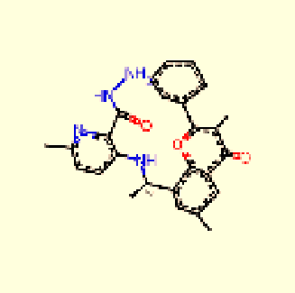 Cc1cc([C@@H](C)Nc2ccc(C)nc2C(=O)NN)c2oc(-c3ccccc3)c(C)c(=O)c2c1